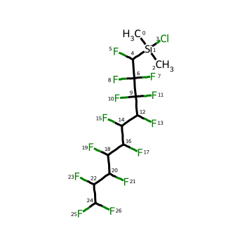 C[Si](C)(Cl)C(F)C(F)(F)C(F)(F)C(F)C(F)C(F)C(F)C(F)C(F)C(F)F